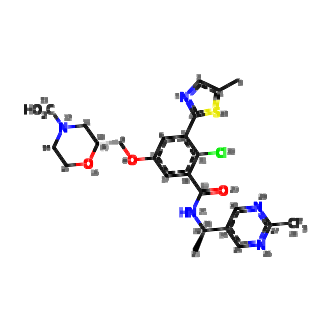 Cc1cnc(-c2cc(OC[C@H]3CN(C(=O)O)CCO3)cc(C(=O)N[C@H](C)c3cnc(C(F)(F)F)nc3)c2Cl)s1